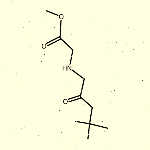 COC(=O)CNCC(=O)CC(C)(C)C